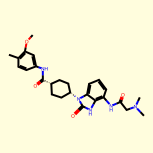 COc1cc(NC(=O)[C@H]2CC[C@@H](n3c(=O)[nH]c4c(NC(=O)CN(C)C)cccc43)CC2)ccc1C